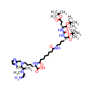 C=C(CN(CCCC[C@H](NC(=O)CCCCCCC(=O)NCCCC[C@H](NC(=O)N[C@@H](CCC(=O)OC(C)(C)C)C(=O)OC(C)(C)C)C(=O)OC(C)(C)C)C(=O)O)Cc1nccn1C)N(C)/C=C\N